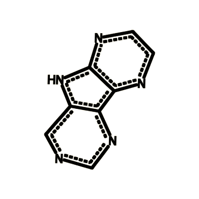 c1cnc2c(n1)[nH]c1cncnc12